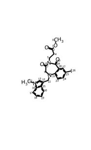 COC(=O)CCN1C(=O)CN(Cc2cn(C)c3ccccc23)c2ccc(I)cc2C1=O